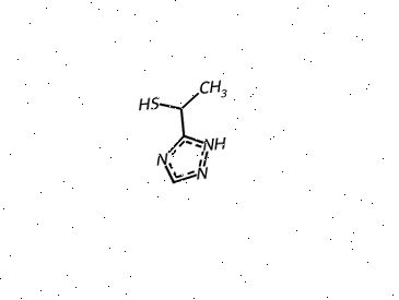 CC(S)c1ncn[nH]1